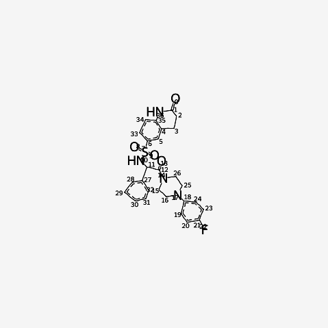 O=C1CCc2cc(S(=O)(=O)NC(C(=O)N3CCN(c4ccc(F)cc4)CC3)c3ccccc3)ccc2N1